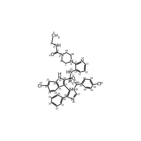 CCNC(=O)N1CCN(c2ncccc2NC(=O)c2[nH]c3cc(Cl)ccc3c2-c2c(-c3ccccc3)ncn2C(C)c2ccc(Cl)cc2)CC1